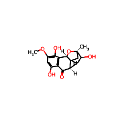 COc1cc(O)c2c(c1O)[C@H]1O[C@]3(C)C[C@H]1[C@@H](C[C@@H]3O)C2=O